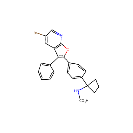 O=C(O)NC1(c2ccc(-c3oc4ncc(Br)cc4c3-c3ccccc3)cc2)CCC1